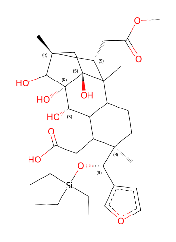 CC[Si](CC)(CC)O[C@@H](c1ccoc1)[C@]1(C)CCC2C(C1CC(=O)O)[C@H](O)[C@@]1(O)C(O)[C@]3(C)C[C@]1(O)C2(C)[C@H]3CC(=O)OC